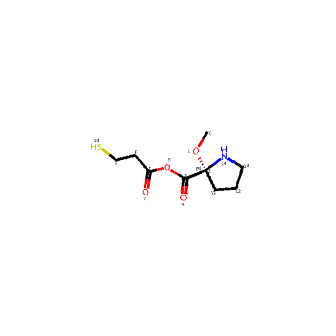 CO[C@@]1(C(=O)OC(=O)CCS)CCCN1